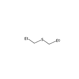 C[CH]CSCCC